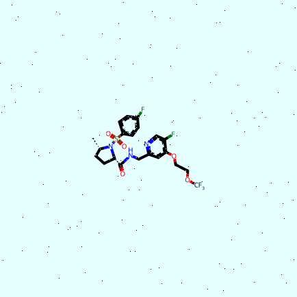 C[C@H]1CC[C@@H](C(=O)NCc2cc(OCCOC(F)(F)F)c(F)cn2)N1S(=O)(=O)c1ccc(F)cc1